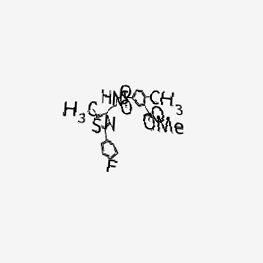 COC(=O)c1cc(S(=O)(=O)NCCc2nc(-c3ccc(F)cc3)sc2C)ccc1C